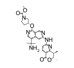 COC(=O)N1CC[C@@H](Oc2ncc(C(C)(C)N)c3cc(Nc4ccc5c(n4)[C@@H](C)[C@H](C)OC5=O)ncc23)C1